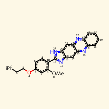 COc1cc(OCCC(C)C)ccc1-c1nc2cc3nc4ccccc4nc3cc2[nH]1